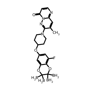 BC1(B)Oc2cc(OC3CCN(c4nn5c(=O)ccnc5cc4C)CC3)cc(F)c2OC1(B)B